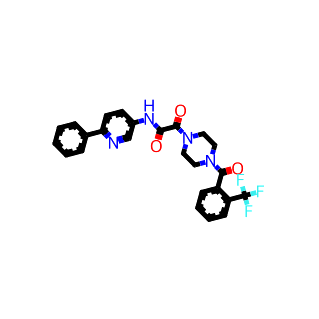 O=C(Nc1ccc(-c2ccccc2)nc1)C(=O)N1CCN(C(=O)c2ccccc2C(F)(F)F)CC1